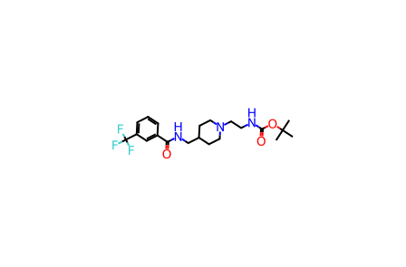 CC(C)(C)OC(=O)NCCN1CCC(CNC(=O)c2cccc(C(F)(F)F)c2)CC1